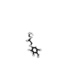 CCOC(=O)COc1cc(Cl)c(CCl)c(Cl)c1F